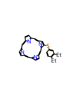 CCc1ccc(SC2=CC3=CC4=NC(=CC5=NC(=CC6=NC(=CC2=N3)C=C6)C=C5)C=C4)cc1CC